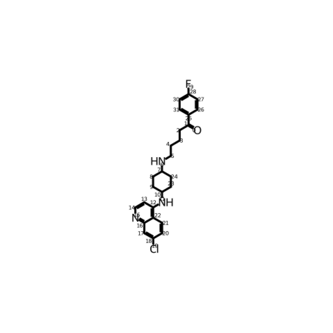 O=C(CCCCNC1CCC(Nc2ccnc3cc(Cl)ccc23)CC1)c1ccc(F)cc1